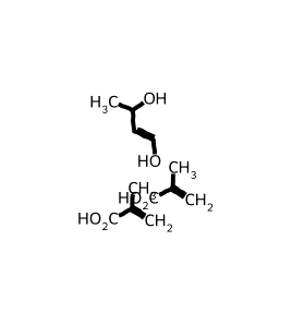 C=C(C)C(=O)O.C=C(C)C(=O)O.CC(O)C=CO